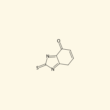 O=C1C=CCC2=NC(=S)N=C12